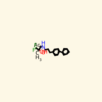 CC(=O)[C@@H](NC(=O)CCc1ccc(-c2ccccc2)cc1)[C@](C)(O)C(F)F